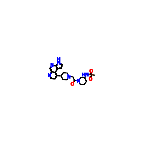 CS(=O)(=O)NC1CCCN(C(=O)CN2CCC(c3ccnc4cnc5[nH]ccc5c34)CC2)C1